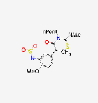 CCCCCN(C(=O)C(C)c1ccc(OC)c(N=S(=O)=O)c1)C(=S)NC